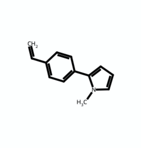 C=Cc1ccc(-c2cccn2C)cc1